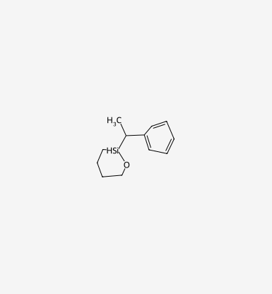 CC(c1ccccc1)[SiH]1CCCCO1